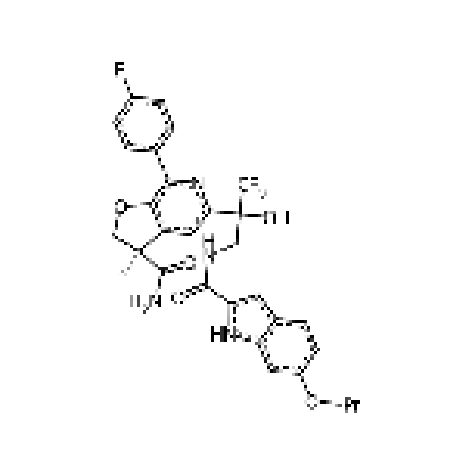 CC(C)Oc1ccc2cc(C(=O)NCC(O)(c3cc4c(c(-c5ccc(F)cc5)n3)OC[C@]4(C)C(N)=O)C(F)(F)F)[nH]c2c1